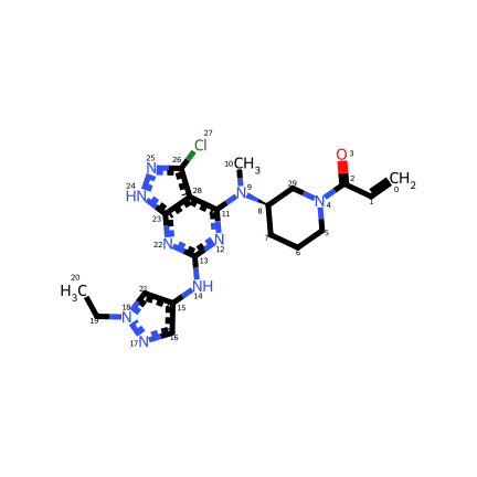 C=CC(=O)N1CCC[C@@H](N(C)c2nc(Nc3cnn(CC)c3)nc3[nH]nc(Cl)c23)C1